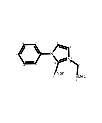 CCCCCCCCCCC[n+]1ccn(-c2ccccc2)c1CCCCCCCCC